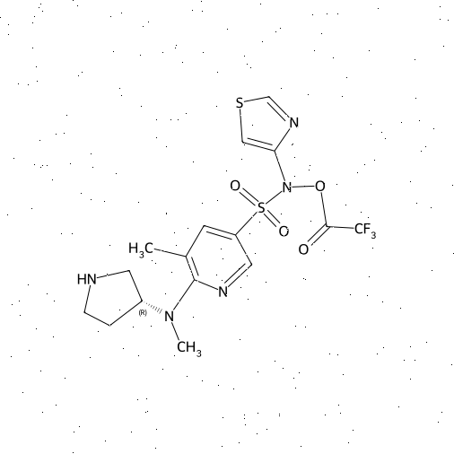 Cc1cc(S(=O)(=O)N(OC(=O)C(F)(F)F)c2cscn2)cnc1N(C)[C@@H]1CCNC1